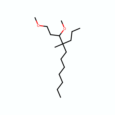 CCCCCCCC(C)(CCC)C(CCOC)OC